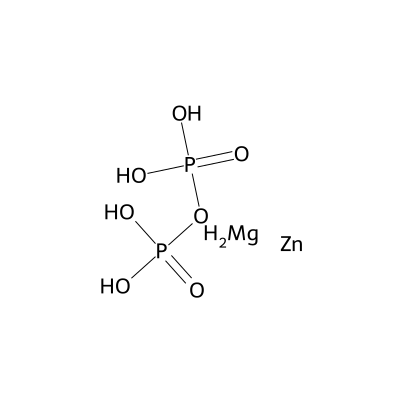 O=P(O)(O)OP(=O)(O)O.[MgH2].[Zn]